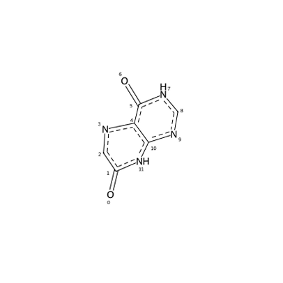 O=c1cnc2c(=O)[nH]cnc2[nH]1